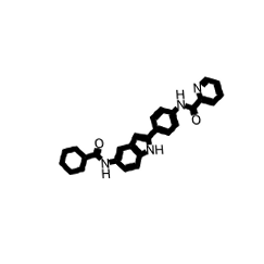 O=C(Nc1ccc(-c2cc3cc(NC(=O)C4CCCCC4)ccc3[nH]2)cc1)c1ccccn1